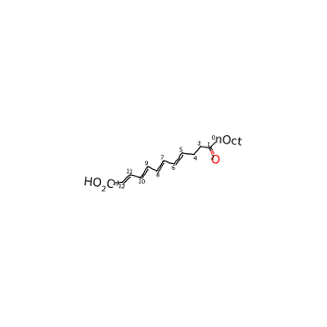 CCCCCCCCC(=O)CCC=CC=CC=CC=CC(=O)O